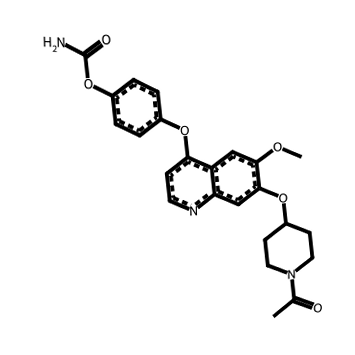 COc1cc2c(Oc3ccc(OC(N)=O)cc3)ccnc2cc1OC1CCN(C(C)=O)CC1